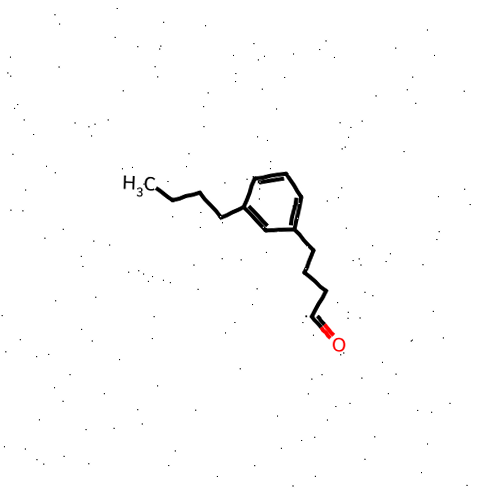 CCCCc1cccc(CCC[C]=O)c1